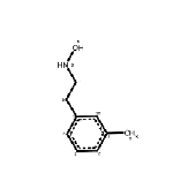 Cc1cccc(CCNO)c1